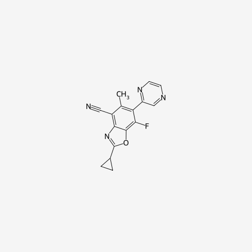 Cc1c(-c2cnccn2)c(F)c2oc(C3CC3)nc2c1C#N